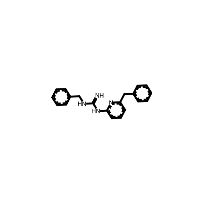 N=C(NCc1ccccc1)Nc1cccc(Cc2ccccc2)n1